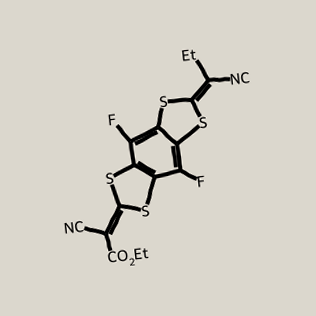 [C-]#[N+]C(CC)=C1Sc2c(F)c3c(c(F)c2S1)SC(=C(C#N)C(=O)OCC)S3